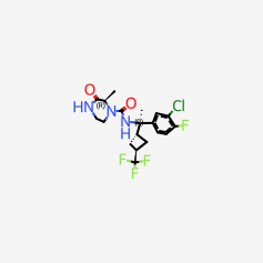 C[C@@H]1C(=O)NCCN1C(=O)N[C@@](C)(c1ccc(F)c(Cl)c1)[C@H]1C[C@H](C(F)(F)F)C1